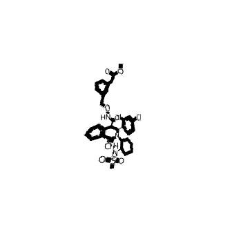 COC(=O)Cc1cccc(CONC(=O)[C@@H]2c3ccccc3C(=O)N(C3CCCC[C@@H]3NS(C)(=O)=O)[C@H]2c2ccc(Cl)cc2Cl)c1